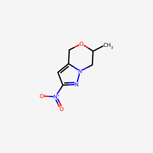 CC1Cn2nc([N+](=O)[O-])cc2CO1